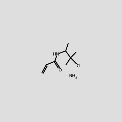 C=CC(=O)NC(C)C(C)(C)Cl.N